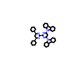 c1ccc(-c2cc(-c3ccccc3)nc(-c3nc(-n4c5ccccc5c5ccccc54)cc(-n4c5ccccc5c5ccccc54)n3)n2)cc1